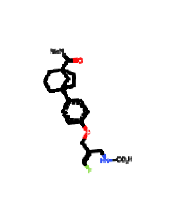 CNC(=O)C12CCCC(c3ccc(OC/C(=C/F)CNC(=O)O)cc3)(CC1)C2